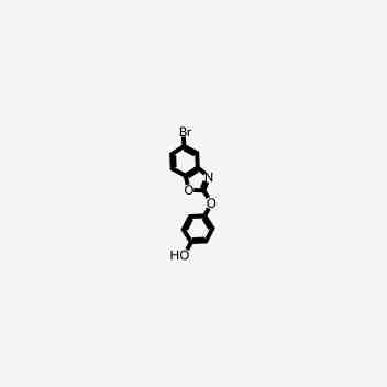 Oc1ccc(Oc2nc3cc(Br)ccc3o2)cc1